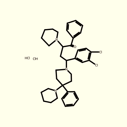 Cl.Cl.O=C(c1ccccc1)C(CC(c1ccc(Cl)c(Cl)c1)N1CCC(c2ccccc2)(N2CCCCC2)CC1)N1CCCCC1